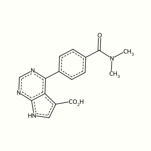 CN(C)C(=O)c1ccc(-c2ncnc3[nH]cc(C(=O)O)c23)cc1